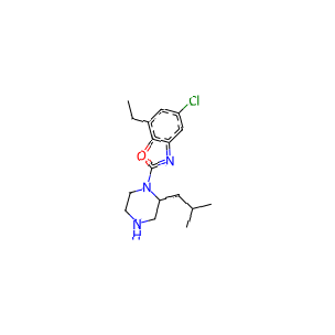 CCc1cc(Cl)cc2nc(N3CCNCC3CC(C)C)oc12